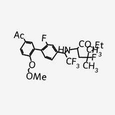 CCOC(=O)C(CC(C)(C)F)NC(c1ccc(-c2cc(C(C)=O)ccc2OCOC)c(F)c1)C(F)(F)F